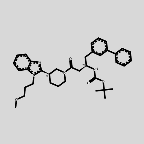 COCCCn1c([C@@H]2CCCN(C(=O)C[C@@H](Cc3cccc(-c4ccccc4)c3)NC(=O)OC(C)(C)C)C2)nc2ccccc21